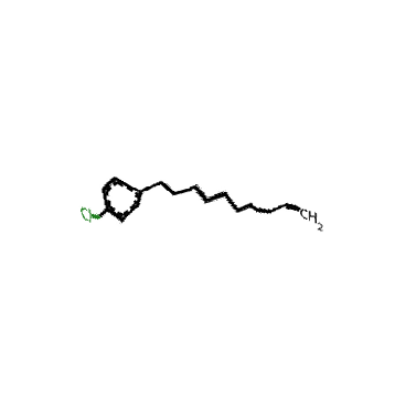 C=CCCCCCCCCc1ccc(Cl)cc1